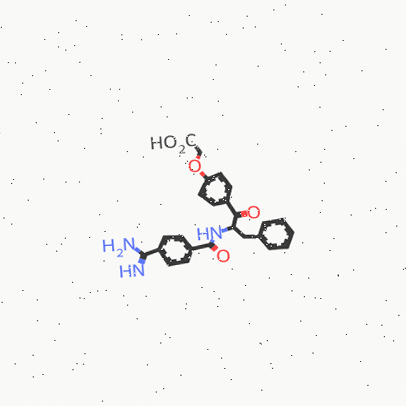 N=C(N)c1ccc(C(=O)NC(Cc2ccccc2)C(=O)c2ccc(OCC(=O)O)cc2)cc1